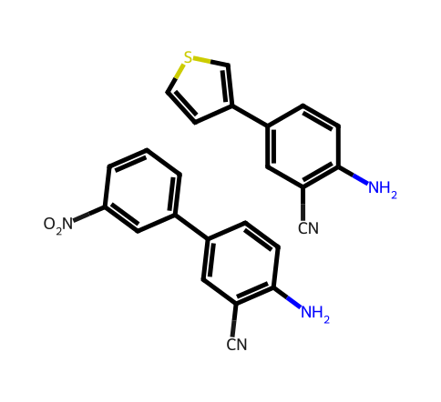 N#Cc1cc(-c2cccc([N+](=O)[O-])c2)ccc1N.N#Cc1cc(-c2ccsc2)ccc1N